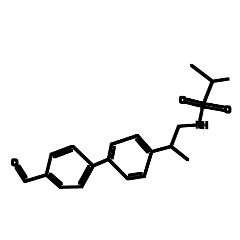 CC(CNS(=O)(=O)C(C)C)c1ccc(-c2ccc(C=O)cc2)cc1